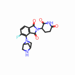 O=C1CCC(N2C(=O)c3ccc(F)c(N4CC5CC4CN5)c3C2=O)C(=O)N1